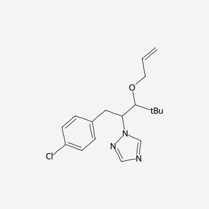 C=CCOC(C(Cc1ccc(Cl)cc1)n1cncn1)C(C)(C)C